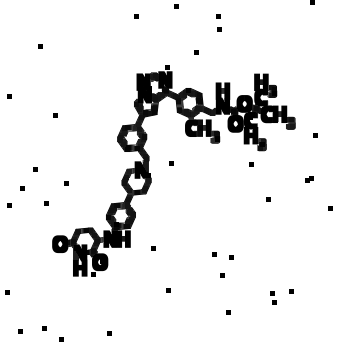 Cc1cc(-c2ncnn3cc(-c4cccc(CN5CCC(c6ccc(NC7CCC(=O)NC7=O)cc6)CC5)c4)cc23)ccc1CNC(=O)OC(C)(C)C